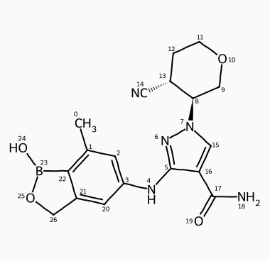 Cc1cc(Nc2nn([C@@H]3COCC[C@H]3C#N)cc2C(N)=O)cc2c1B(O)OC2